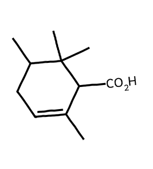 CC1=CCC(C)C(C)(C)C1C(=O)O